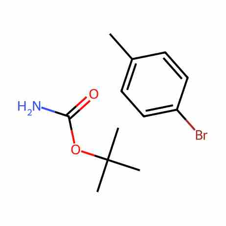 CC(C)(C)OC(N)=O.Cc1ccc(Br)cc1